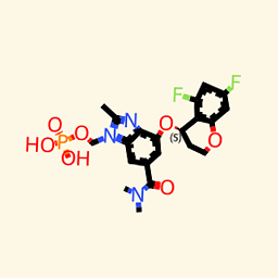 Cc1nc2c(O[C@H]3CCOc4cc(F)cc(F)c43)cc(C(=O)N(C)C)cc2n1COP(=O)(O)O